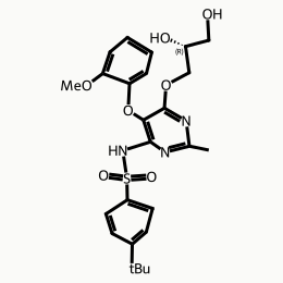 COc1ccccc1Oc1c(NS(=O)(=O)c2ccc(C(C)(C)C)cc2)nc(C)nc1OC[C@H](O)CO